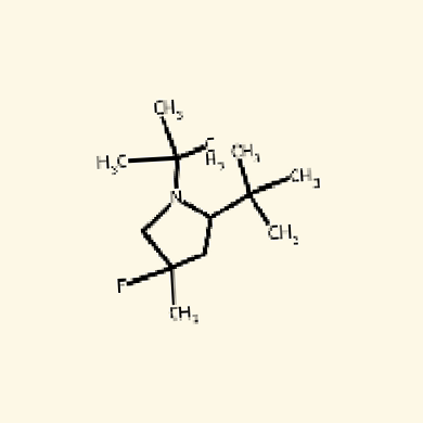 CC1(F)CC(C(C)(C)C)N(C(C)(C)C)C1